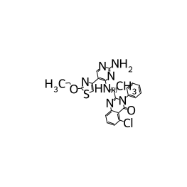 CCOc1nc(-c2cnc(N)nc2N[C@H](C)c2nc3cccc(Cl)c3c(=O)n2-c2ccccc2)cs1